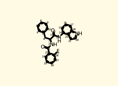 O=C(NC(Cc1ccccc1)C(=O)Nc1cccc2[nH]ccc12)c1ccccc1F